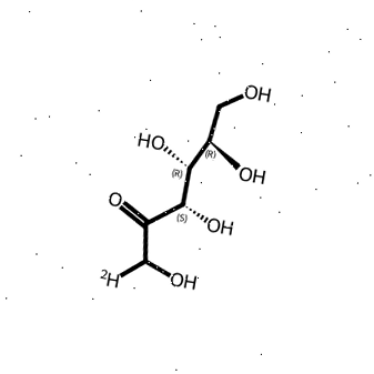 [2H]C(O)C(=O)[C@@H](O)[C@H](O)[C@H](O)CO